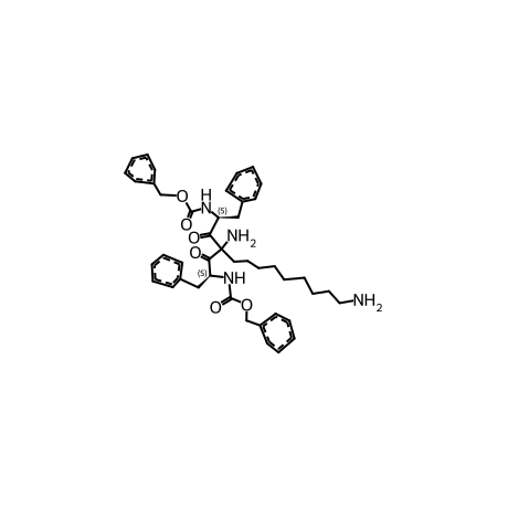 NCCCCCCCCCC(N)(C(=O)[C@H](Cc1ccccc1)NC(=O)OCc1ccccc1)C(=O)[C@H](Cc1ccccc1)NC(=O)OCc1ccccc1